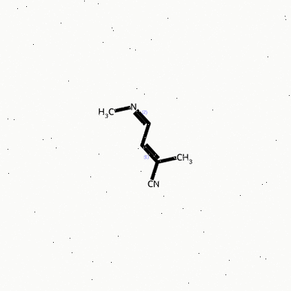 C/N=C\C=C(/C)C#N